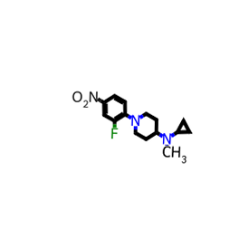 CN(C1CC1)C1CCN(c2ccc([N+](=O)[O-])cc2F)CC1